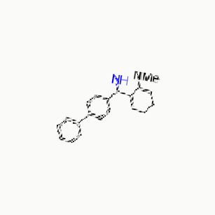 CNC1=CCCC=C1C(=N)c1ccc(-c2ccccc2)cc1